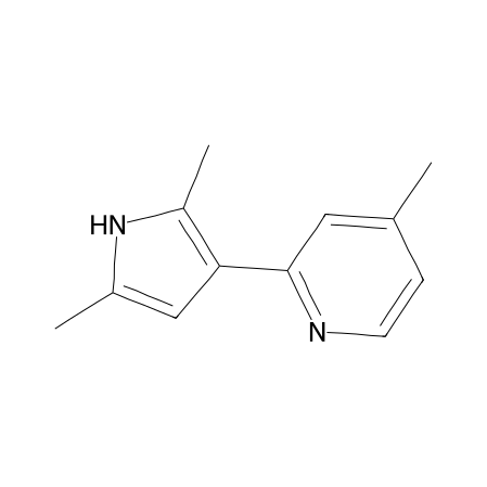 Cc1ccnc(-c2cc(C)[nH]c2C)c1